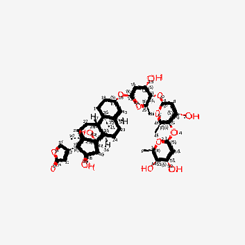 C[C@H]1O[C@@H](O[C@H]2[C@@H](O)C[C@H](O[C@H]3[C@@H](O)C[C@H](O[C@H]4CC[C@@]5(C)[C@H](CC[C@@H]6[C@@H]5CC[C@]5(C)[C@@H](C7=CC(=O)OC7)C(O)C[C@]65O)C4)O[C@@H]3C)O[C@@H]2C)C[C@H](O)[C@@H]1O